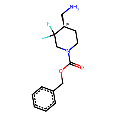 NC[C@H]1CCN(C(=O)OCc2ccccc2)CC1(F)F